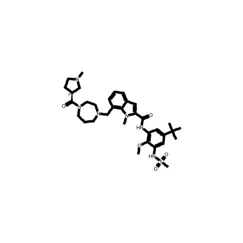 COc1c(NC(=O)c2cc3cccc(CN4CCCN(C(=O)[C@H]5CCN(C)C5)CC4)c3n2C)cc(C(C)(C)C)cc1NS(C)(=O)=O